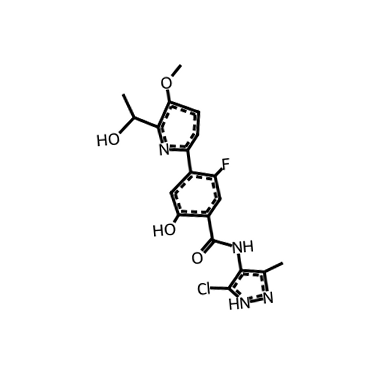 COc1ccc(-c2cc(O)c(C(=O)Nc3c(C)n[nH]c3Cl)cc2F)nc1C(C)O